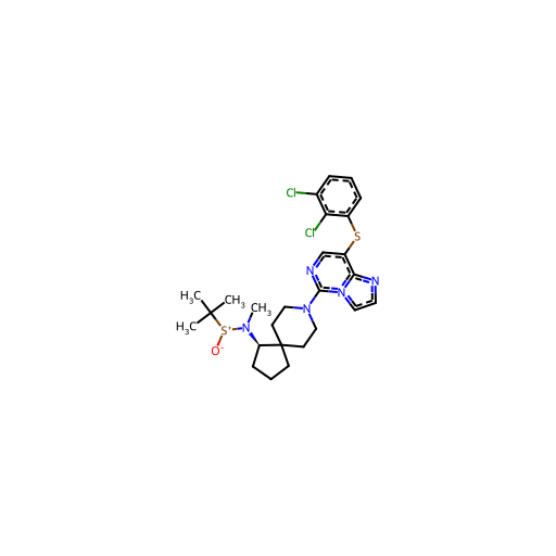 CN([C@@H]1CCCC12CCN(c1ncc(Sc3cccc(Cl)c3Cl)c3nccn13)CC2)[S+]([O-])C(C)(C)C